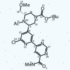 CNC(=O)c1cc(-c2cc([C@@H]3CN(C(=O)OC(C)(C)C)C[C@@H](COC)N3C(C)=O)cc(Cl)n2)ncn1